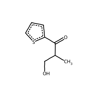 CC(CO)C(=O)c1cccs1